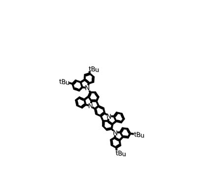 CC(C)(C)C1=CC2c3cc(C(C)(C)C)ccc3N(c3ccc4c5cc6c(cc5n5c7ccccc7c3c45)c3ccc(-n4c5ccc(C(C)(C)C)cc5c5cc(C(C)(C)C)ccc54)c4c5ccccc5n6c34)C2C=C1